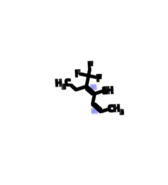 C/C=C\C(S)=C(/CC)C(F)(F)F